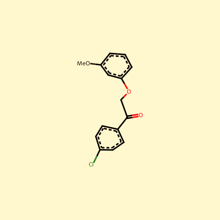 COc1cccc(OCC(=O)c2ccc(Cl)cc2)c1